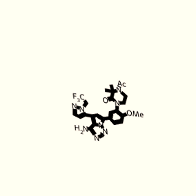 COc1ccc(-c2cc(-c3ccnn3CC(F)(F)F)c3c(N)ncnn23)cc1N1CCN(C(C)=O)C(C)(C)C1=O